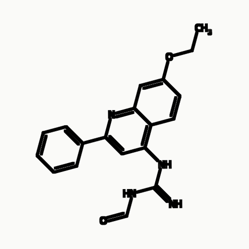 CCOc1ccc2c(NC(=N)NC=O)cc(-c3ccccc3)nc2c1